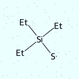 CC[Si]([S])(CC)CC